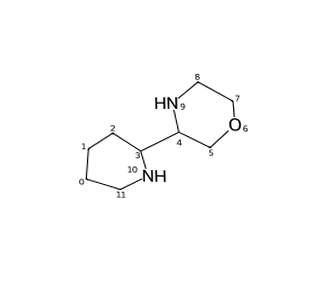 C1CCC(C2COCCN2)NC1